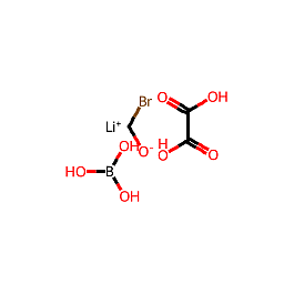 O=C(O)C(=O)O.OB(O)O.[Li+].[O-]CBr